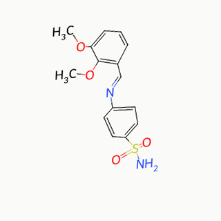 COc1cccc(/C=N/c2ccc(S(N)(=O)=O)cc2)c1OC